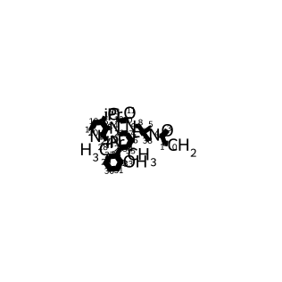 C=CC(=O)N1CC(F)(Cn2c(=O)c(=O)n(-c3c(C(C)C)ccnc3C(C)C)c3nc(-c4c(C)cccc4O)c(C)cc32)C1